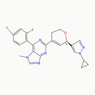 Cn1cnc2nc(C3=C[C@H](c4cnn(C5CC5)c4)OCC3)nc(-c3ccc(F)cc3F)c21